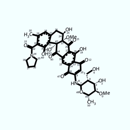 CO[C@@H]1[C@@H](O)[C@@H](CO)C(NC2=CC(=O)c3c(cc4c(c3O)C(=O)[C@]3(OC)[C@H](O)Cc5cc(C)c(C(=O)N6CCCC6)c(O)c5[C@]3(O)C4=O)C2=O)O[C@H]1C